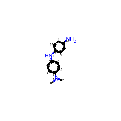 CN(C)c1ccc(Nc2ccc(N)cc2)cc1